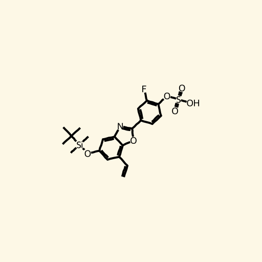 C=Cc1cc(O[Si](C)(C)C(C)(C)C)cc2nc(-c3ccc(OS(=O)(=O)O)c(F)c3)oc12